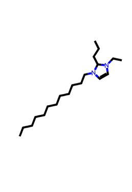 CCCCCCCCCCCCN1C=CN(CC)C1CCC